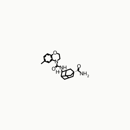 Cc1ccc2c(c1)N(C(=O)N[C@H]1C3CC4CC1C[C@](C(N)=O)(C4)C3)CCO2